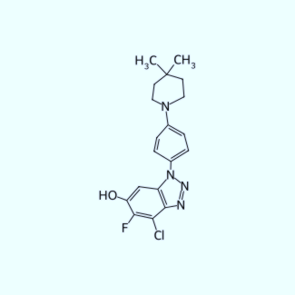 CC1(C)CCN(c2ccc(-n3nnc4c(Cl)c(F)c(O)cc43)cc2)CC1